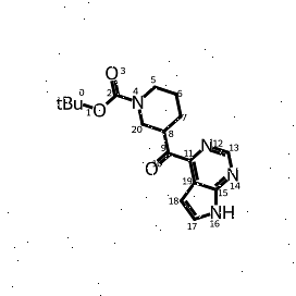 CC(C)(C)OC(=O)N1CCCC(C(=O)c2ncnc3[nH]ccc23)C1